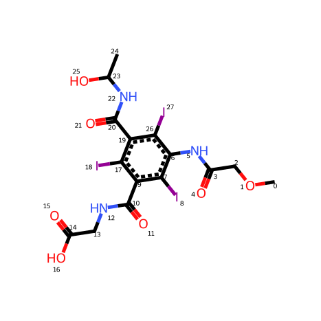 COCC(=O)Nc1c(I)c(C(=O)NCC(=O)O)c(I)c(C(=O)NC(C)O)c1I